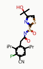 CC(C)c1cc(C#N)c(F)c(C(C)C)c1CC(=O)/N=[SH](=O)/c1nc(C(C)(C)O)cs1